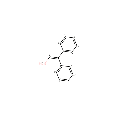 BC=C(c1ccccc1)c1ccccc1